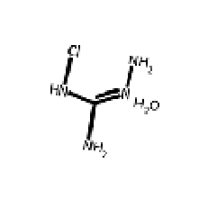 NN=C(N)NCl.O